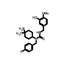 CC(C)COc1ccc(CNC(=O)N(Cc2ccc(F)cc2)C2CCC(C)(N)CC2)cc1O